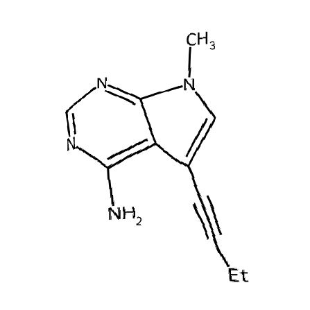 CCC#Cc1cn(C)c2ncnc(N)c12